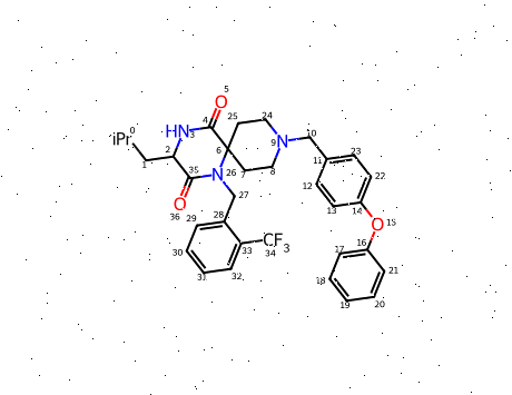 CC(C)CC1NC(=O)C2(CCN(Cc3ccc(Oc4ccccc4)cc3)CC2)N(Cc2ccccc2C(F)(F)F)C1=O